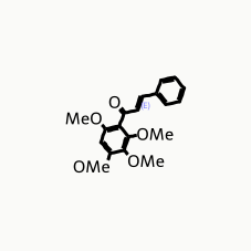 COc1cc(OC)c(C(=O)/C=C/c2ccccc2)c(OC)c1OC